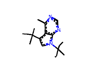 Cc1ncnc2c1c(C(C)(C)C)cn2C(C)(C)C